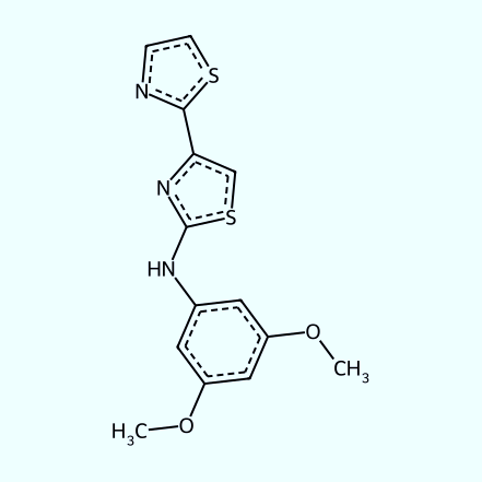 COc1cc(Nc2nc(-c3nccs3)cs2)cc(OC)c1